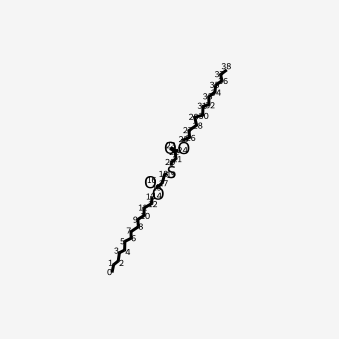 CCCCCCCCCCCCCCOC(=O)CCSCCC(=O)OCCCCCCCCCCCCCC